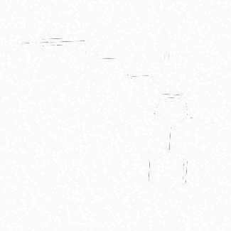 C[C@@H](NC/C=C/C#CC(C)(C)C)c1cc(-c2ccccc2)n(C)n1